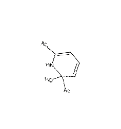 CC(=O)C1=CC=CC(O)(C(C)=O)N1